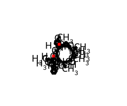 CC[C@H](C)[C@H]1NC(=O)[C@@H](NC(=O)[C@@H](CC(C)C)N(C)C(=O)C2Cc3ccccc3S2)[C@@H](C)OC(=O)[C@H](Cc2ccc(OC)cc2)N(C)C(=O)[C@@H]2CCCN2C(=O)[C@H](CC(C)C)NC(=O)[C@H](C(C)C)OC(=O)C[C@@H]1O